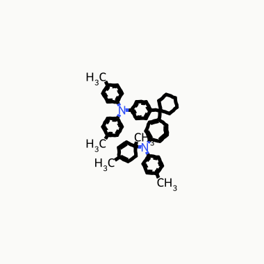 CC1=CCC(C)(N(C2=CC=C(C3(c4ccc(N(c5ccc(C)cc5)c5ccc(C)cc5)cc4)CCCCC3)C=C=C2)c2ccc(C)cc2)C=C1